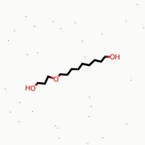 OCCCCCCCCCOCCCO